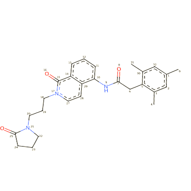 Cc1cc(C)c(CC(=O)Nc2cccc3c(=O)n(CCCN4CCCC4=O)ccc23)c(C)c1